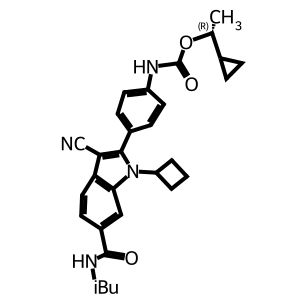 CCC(C)NC(=O)c1ccc2c(C#N)c(-c3ccc(NC(=O)O[C@H](C)C4CC4)cc3)n(C3CCC3)c2c1